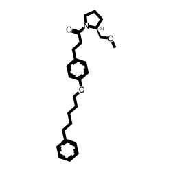 COC[C@@H]1CCCN1C(=O)CCc1ccc(OCCCCCc2ccccc2)cc1